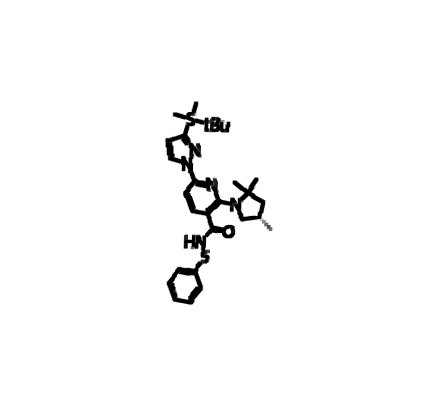 C[C@@H]1CN(c2nc(-n3ccc(S(C)(C)C(C)(C)C)n3)ccc2C(=O)NSc2ccccc2)C(C)(C)C1